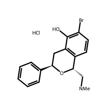 CNC[C@@H]1O[C@@H](c2ccccc2)Cc2c1ccc(Br)c2O.Cl